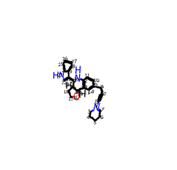 C(#CN1CCCCC1)Cc1ccc2c(c1)[C@H]1OCC[C@H]1C(c1c[nH]c3ccccc13)N2